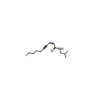 CCCCCC#C/C=C\C(=O)NCC(C)C